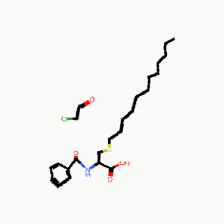 CCCCCCCCCCCCSCC(NC(=O)c1ccccc1)C(=O)O.O=CCCl